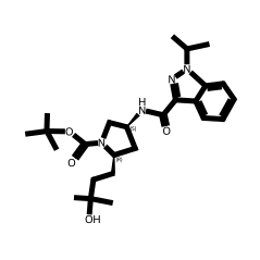 CC(C)n1nc(C(=O)N[C@H]2C[C@@H](CCC(C)(C)O)N(C(=O)OC(C)(C)C)C2)c2ccccc21